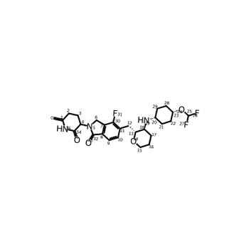 C=C1CCC(N2Cc3c(ccc(C[C@H]4OCCC[C@@H]4N[C@H]4CC[C@@H](OC(F)F)CC4)c3F)C2=O)C(=O)N1